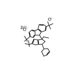 CCC1(C2c3cc(C(C)(C)C)ccc3-c3ccc(C(C)(C)C)cc32)CC(C2CC=CCC2)C2=C1C=C(C(C)(C)C)C2.[Cl-].[Cl-].[Zr+2]